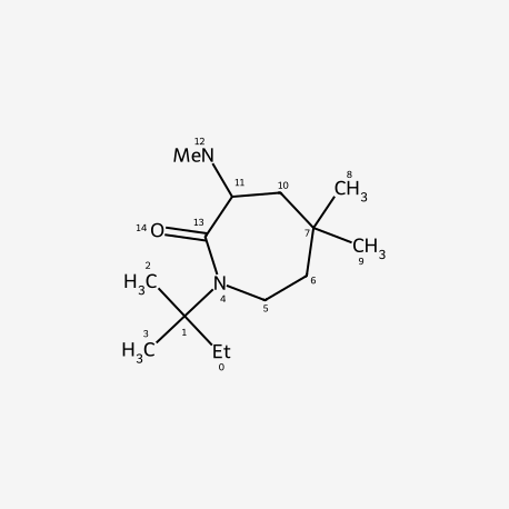 CCC(C)(C)N1CCC(C)(C)CC(NC)C1=O